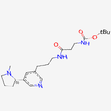 CN1CCC[C@H]1c1cncc(CCCNC(=O)CCNC(=O)OC(C)(C)C)c1